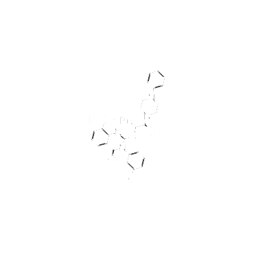 CCCCC(Sc1nc2c(C)cccc2c(=O)n1-c1cccc(Cl)c1)C(=O)N1CCN(c2ccccc2)CC1